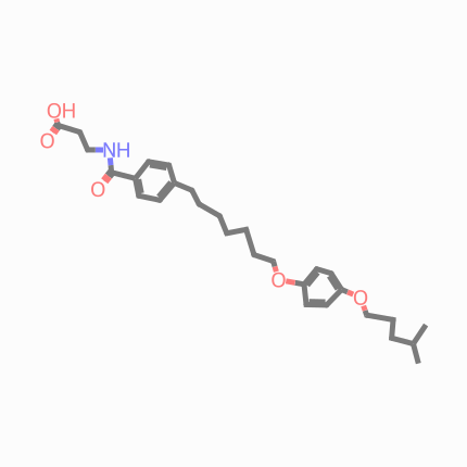 CC(C)CCCOc1ccc(OCCCCCCCc2ccc(C(=O)NCCC(=O)O)cc2)cc1